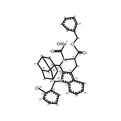 COC(=O)N1C(C(=O)OCc2ccccc2)Cc2c(n(Cc3ccccc3Cl)c3ccccc23)C1C12CC3CC(CC(C3)C1)C2